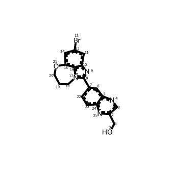 OCc1cnc2cc(-c3nc4cc(Br)cc5c4n3CCCO5)ccc2n1